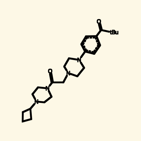 CC(C)(C)C(=O)c1ccc(N2CCN(CC(=O)N3CCN(C4CCC4)CC3)CC2)cc1